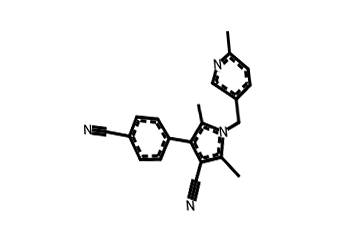 Cc1ccc(Cn2c(C)c(C#N)c(-c3ccc(C#N)cc3)c2C)cn1